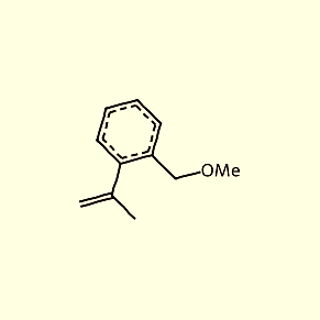 C=C(C)c1ccccc1COC